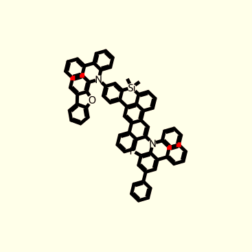 C[Si]1(C)c2cc(N(c3ccccc3-c3ccccc3)c3cccc4c3oc3ccccc34)ccc2-c2cc3c4ccccc4c(N(c4ccccc4)c4c(F)cc(-c5ccccc5)cc4-c4ccccc4)cc3c3cccc1c23